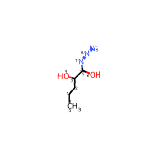 CCCC(O)[C](O)N=[N+]=[N-]